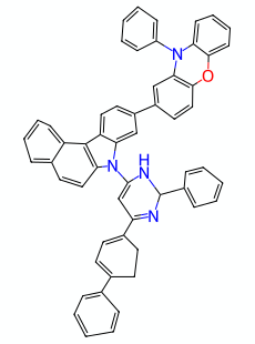 C1=C(C2=NC(c3ccccc3)NC(n3c4cc(-c5ccc6c(c5)N(c5ccccc5)c5ccccc5O6)ccc4c4c5ccccc5ccc43)=C2)CCC(c2ccccc2)=C1